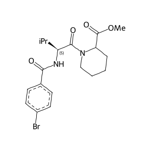 COC(=O)C1CCCCN1C(=O)[C@@H](NC(=O)c1ccc(Br)cc1)C(C)C